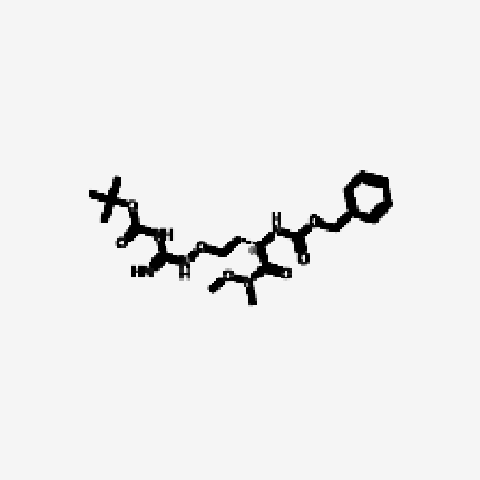 CON(C)C(=O)[C@H](CCONC(=N)NC(=O)OC(C)(C)C)NC(=O)OCc1ccccc1